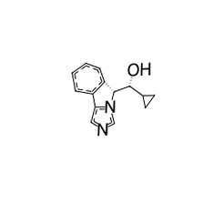 O[C@H](C1CC1)[C@H]1c2ccccc2-c2cncn21